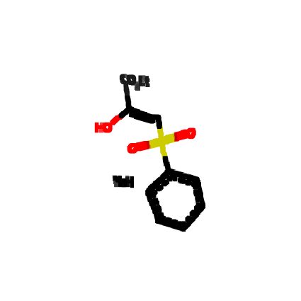 CCOC(=O)C(O)=CS(=O)(=O)c1ccccc1.[NaH]